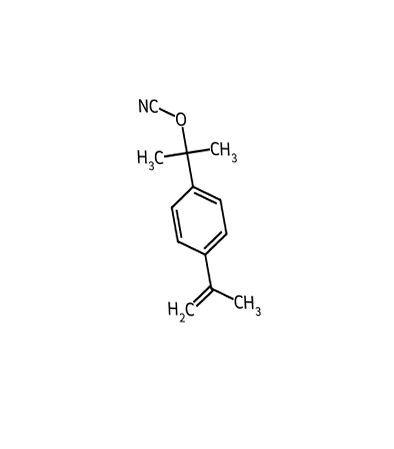 C=C(C)c1ccc(C(C)(C)OC#N)cc1